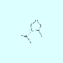 CC1COC[C@H]1N(C)C